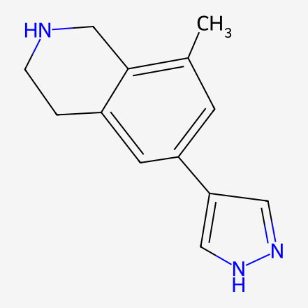 Cc1cc(-c2cn[nH]c2)cc2c1CNCC2